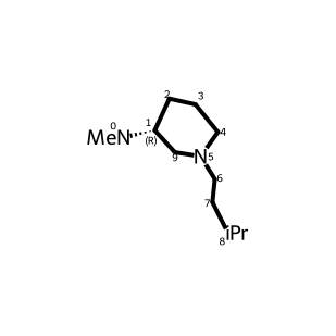 CN[C@@H]1CCCN(CCC(C)C)C1